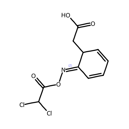 O=C(O)CC1C=CC=C/C1=N\OC(=O)C(Cl)Cl